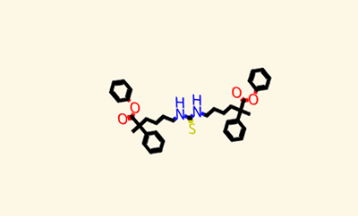 CC(CCCCNC(=S)NCCCCC(C)(C(=O)Oc1ccccc1)c1ccccc1)(C(=O)Oc1ccccc1)c1ccccc1